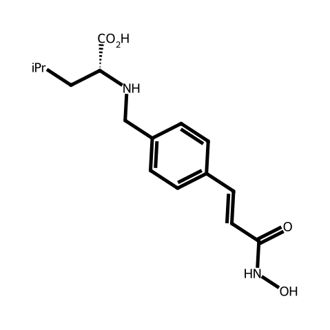 CC(C)C[C@@H](NCc1ccc(/C=C/C(=O)NO)cc1)C(=O)O